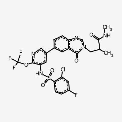 CNC(=O)C(C)Cn1cnc2ccc(-c3cnc(OC(F)(F)F)c(NS(=O)(=O)c4ccc(F)cc4Cl)c3)cc2c1=O